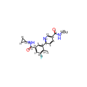 CCC(C)NC(=O)c1ccc(-c2cc(C(=O)NC3CC3)cc(F)c2C)nc1